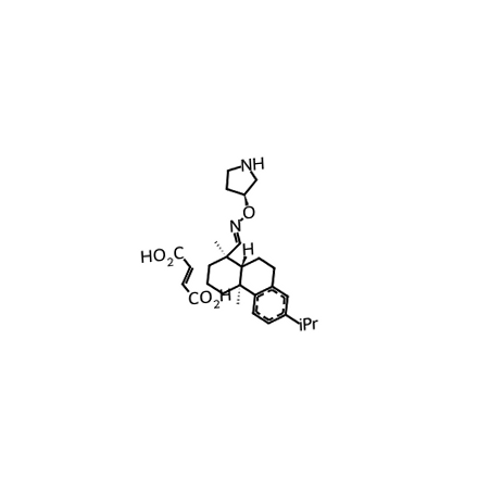 CC(C)c1ccc2c(c1)CC[C@H]1[C@](C)(/C=N/O[C@H]3CCNC3)CCC[C@]21C.O=C(O)/C=C/C(=O)O